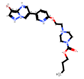 CCCCOC(=O)N1CCN(CCOc2ccc(-c3cnc4c(Br)cnn4c3)cn2)CC1